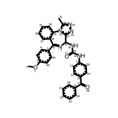 COc1ccc(C2=NC(NC(=O)Nc3ccc(C(=O)c4ccccc4)cc3)c3nnc(C)n3-c3ccccc32)cc1